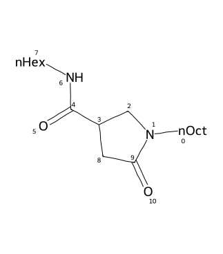 CCCCCCCCN1CC(C(=O)NCCCCCC)CC1=O